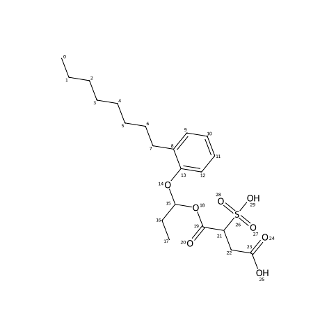 CCCCCCCCc1ccccc1OC(CC)OC(=O)C(CC(=O)O)S(=O)(=O)O